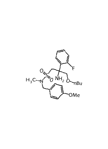 CCCCOCC(N)(CS(=O)(=O)N(C)Cc1ccc(OC)cc1)c1ccccc1F